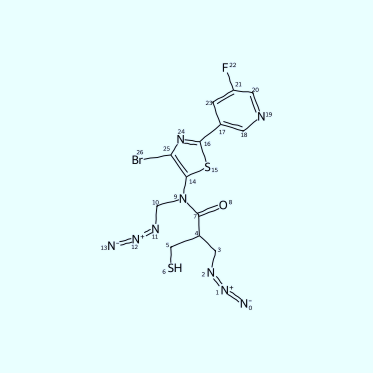 [N-]=[N+]=NCC(CS)C(=O)N(CN=[N+]=[N-])c1sc(-c2cncc(F)c2)nc1Br